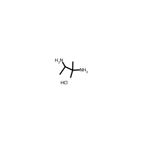 CC(N)C(C)(C)N.Cl